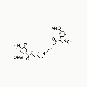 COc1ccc2c(c1)c(C(=O)CCCCCN1CCC(CNC(=O)c3cc(Cl)c(N)cc3OC)CC1)cn2C